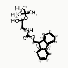 CC(C)(C)OC(O)CNC(=O)OCC1c2ccccc2-c2ccccc21